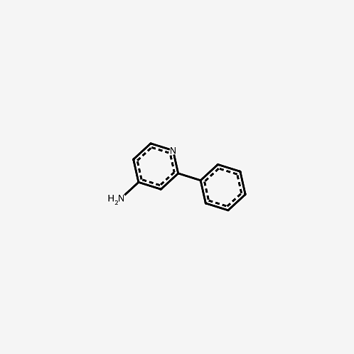 Nc1ccnc(-c2ccccc2)c1